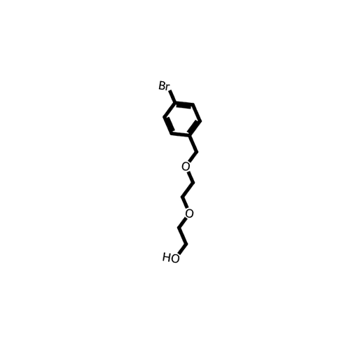 OCCOCCOCc1ccc(Br)cc1